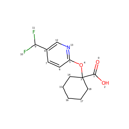 O=C(O)C1(Oc2ccc(C(F)F)cn2)CCCCC1